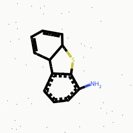 Nc1cccc2c1SC1C=CC=CC21